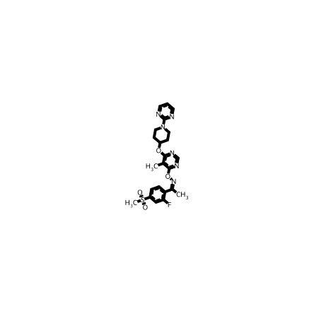 CC(=NOc1ncnc(OC2CCN(c3ncccn3)CC2)c1C)c1ccc(S(C)(=O)=O)cc1F